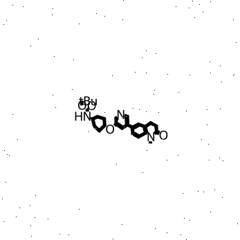 CN1C(=O)CCc2cc(-c3cncc(O[C@H]4CC[C@H](NC(=O)OC(C)(C)C)CC4)c3)ccc21